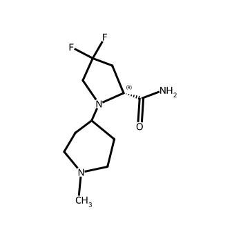 CN1CCC(N2CC(F)(F)C[C@@H]2C(N)=O)CC1